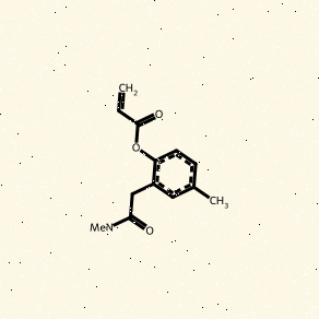 C=CC(=O)Oc1ccc(C)cc1CC(=O)NC